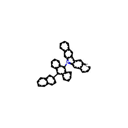 c1ccc2cc(-c3c4ccccc4c(-n4c5cc6ccccc6cc5c5cc6ccccc6cc54)c4ccccc34)ccc2c1